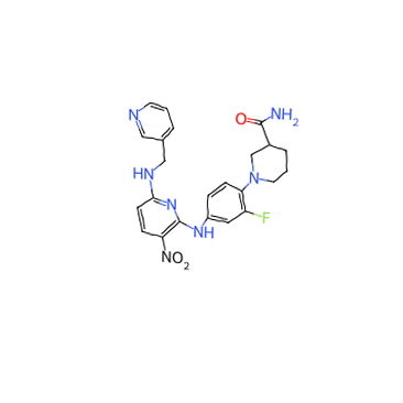 NC(=O)C1CCCN(c2ccc(Nc3nc(NCc4cccnc4)ccc3[N+](=O)[O-])cc2F)C1